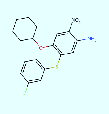 Nc1cc(Sc2cccc(F)c2)c(OC2CCCCC2)cc1[N+](=O)[O-]